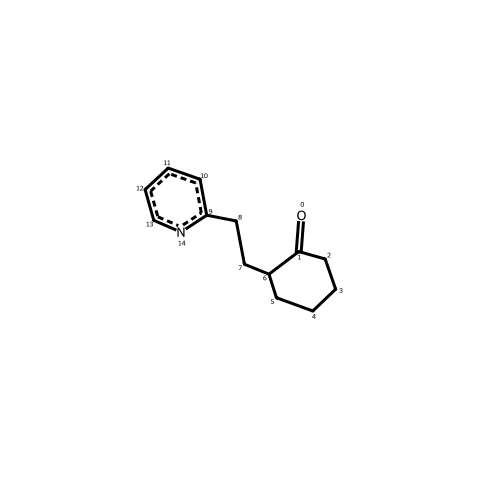 O=C1CCCCC1CCc1ccccn1